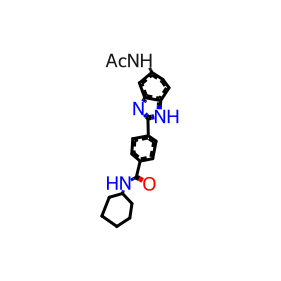 CC(=O)Nc1ccc2[nH]c(-c3ccc(C(=O)NC4CCCCC4)cc3)nc2c1